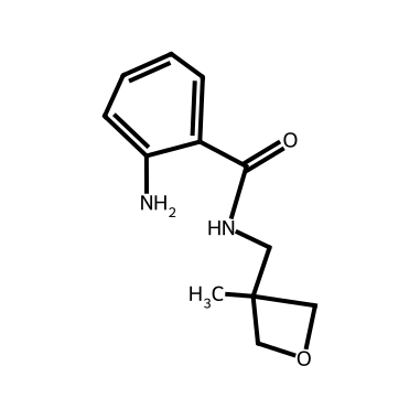 CC1(CNC(=O)c2ccccc2N)COC1